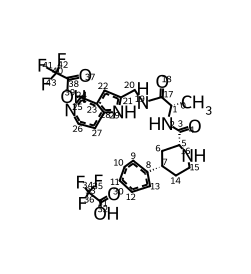 C[C@H](NC(=O)[C@H]1C[C@@H](c2ccccc2)CCN1)C(=O)NCc1cc2cnccc2[nH]1.O=C(O)C(F)(F)F.O=C(O)C(F)(F)F